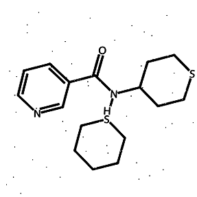 O=C(c1cc[c]nc1)N(C1CCSCC1)[SH]1CCCCC1